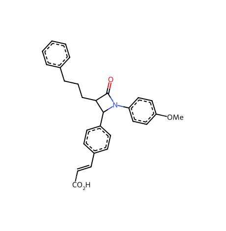 COc1ccc(N2C(=O)C(CCCc3ccccc3)C2c2ccc(C=CC(=O)O)cc2)cc1